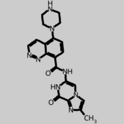 Cc1cn2cc(NC(=O)c3ccc(N4CCNCC4)c4ccnnc34)[nH]c(=O)c2n1